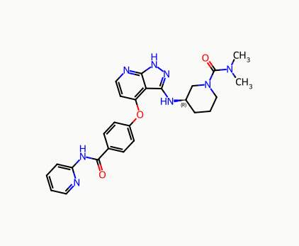 CN(C)C(=O)N1CCC[C@@H](Nc2n[nH]c3nccc(Oc4ccc(C(=O)Nc5ccccn5)cc4)c23)C1